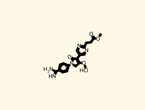 COC(=O)CCc1ncc(C2=C(OC)CN(c3ccc(C(=N)N)cc3)C2=O)cn1.Cl